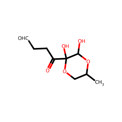 CC1COC(O)(C(=O)CCC=O)C(O)O1